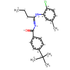 CCC/C(=N\C(=O)c1ccc(C(C)(C)C)cc1)Nc1cc(C)ccc1Cl